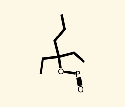 CCCC(CC)(CC)OP=O